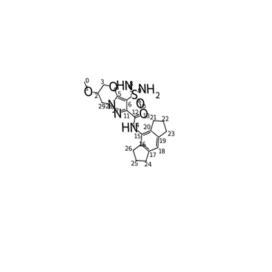 COC1COc2c(S(=N)(N)=O)c(C(=O)Nc3c4c(cc5c3CCC5)CCC4)nn2C1